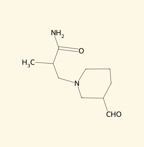 CC(CN1CCCC(C=O)C1)C(N)=O